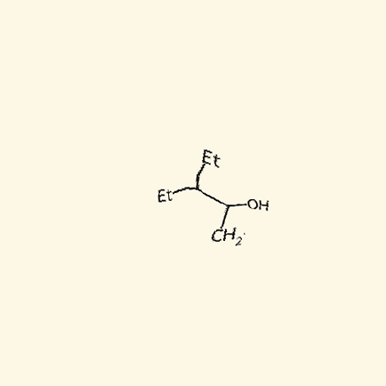 [CH2]C(O)C(CC)CC